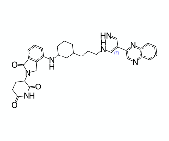 N=C/C(=C\NCCCC1CCCC(Nc2cccc3c2CN(C2CCC(=O)NC2=O)C3=O)C1)c1cnc2ccccc2n1